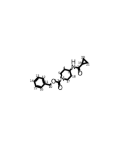 O=C(NC1CCN(C(=O)OCc2ccccc2)CC1)C1CC1